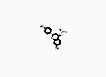 COC.O=C1C[C@@H](c2ccc(O)cc2)Oc2cc(O)ccc21